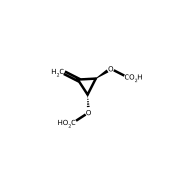 C=C1[C@@H](OC(=O)O)[C@@H]1OC(=O)O